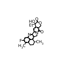 CC[C@@]1(O)C(=O)OCc2c1cc1n(c2=O)Cc2c-1nc1cc(F)c(C)c3c1c2[C@@H](C)CC3